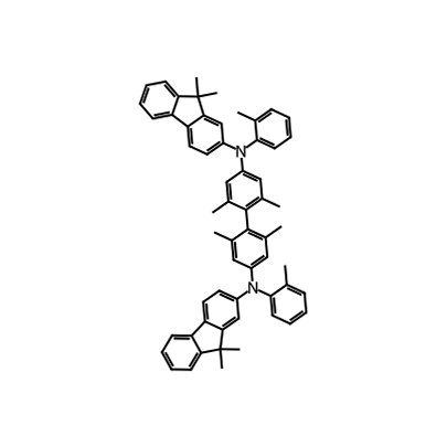 Cc1ccccc1N(c1cc(C)c(-c2c(C)cc(N(c3ccc4c(c3)C(C)(C)c3ccccc3-4)c3ccccc3C)cc2C)c(C)c1)c1ccc2c(c1)C(C)(C)c1ccccc1-2